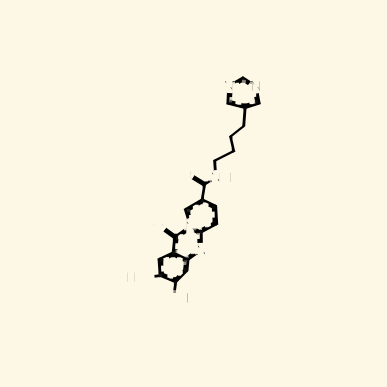 Cc1cc2nc3ccc(C(=O)NCCCCc4cncnc4)cn3c(=O)c2cc1C